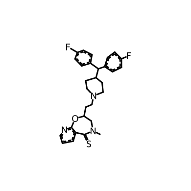 CN1CC(CCN2CCC(C(c3ccc(F)cc3)c3ccc(F)cc3)CC2)Oc2ncccc2C1=S